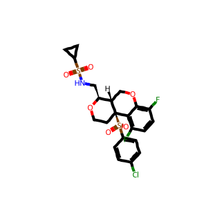 O=S(=O)(NC[C@@H]1OCC[C@@]2(S(=O)(=O)c3ccc(Cl)cc3)c3c(F)ccc(F)c3OC[C@@H]12)C1CC1